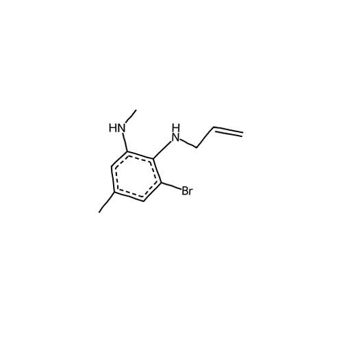 C=CCNc1c(Br)cc(C)cc1NC